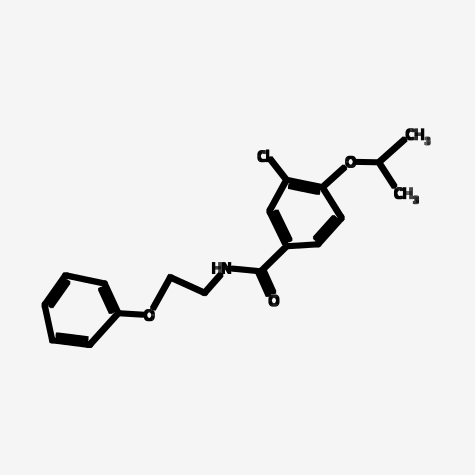 CC(C)Oc1ccc(C(=O)NCCOc2ccccc2)cc1Cl